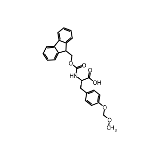 COCOc1ccc(C[C@@H](NC(=O)OCC2c3ccccc3-c3ccccc32)C(=O)O)cc1